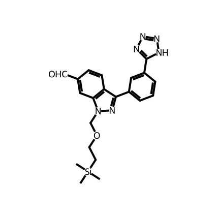 C[Si](C)(C)CCOCn1nc(-c2cccc(-c3nnn[nH]3)c2)c2ccc(C=O)cc21